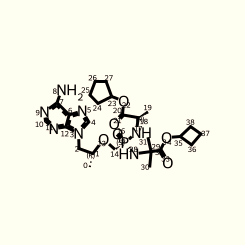 C[C@H](Cn1cnc2c(N)ncnc21)OC[P@](=O)(N[C@H](C)C(=O)OC1CCCC1)NC(C)(C)C(=O)OC1CCC1